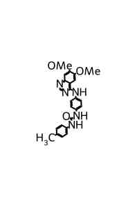 COc1cc2ncnc(Nc3ccc(NC(=O)Nc4ccc(C)cc4)cc3)c2cc1OC